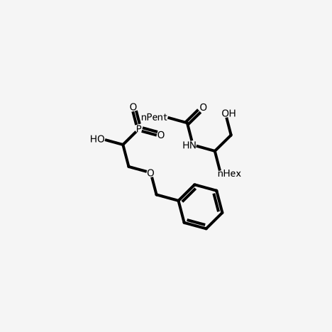 CCCCCCC(CO)NC(=O)CCCCC.O=P(=O)C(O)COCc1ccccc1